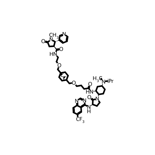 CC(C)N(C)[C@@H]1CC[C@H](N2CC[C@H](Nc3ncnc4ccc(C(F)(F)F)cc34)C2=O)[C@H](NC(=O)CCCOCC23CCC(COCCNC(=O)[C@H]4CC(=O)N(C)[C@@H]4c4cccnc4)(CC2)CC3)C1